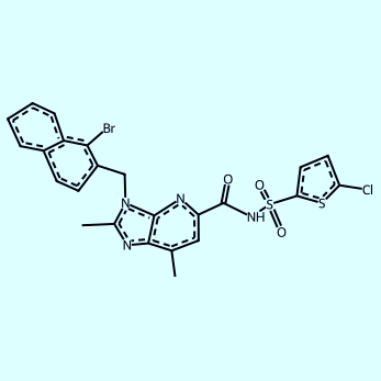 Cc1cc(C(=O)NS(=O)(=O)c2ccc(Cl)s2)nc2c1nc(C)n2Cc1ccc2ccccc2c1Br